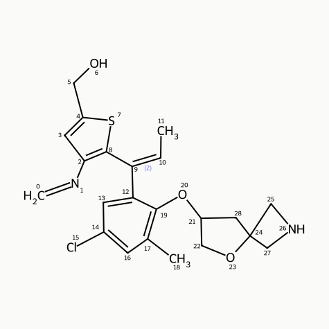 C=Nc1cc(CO)sc1/C(=C\C)c1cc(Cl)cc(C)c1OC1COC2(CNC2)C1